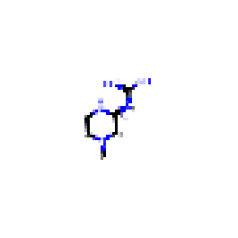 CN1CCN/C(=N\C(=N)N)C1